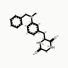 CN(Cc1ccccc1)c1cccc(CC2NC(=O)CNC2=O)c1